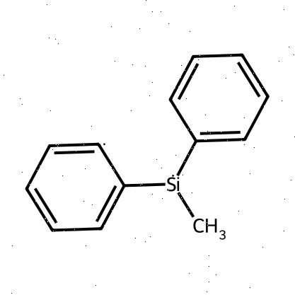 C[Si](c1[c]cccc1)c1ccccc1